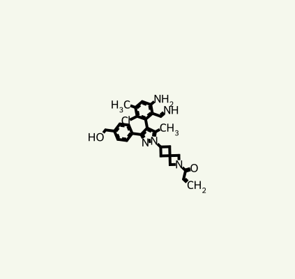 C=CC(=O)N1CC2(CC(n3nc(-c4ccc(CO)cc4)c(-c4c(Cl)c(C)cc(N)c4C=N)c3C)C2)C1